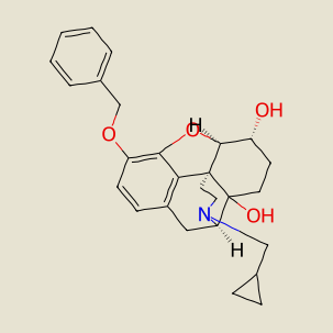 O[C@@H]1CCC2(O)[C@H]3Cc4ccc(OCc5ccccc5)c5c4[C@@]2(CCN3CC2CC2)[C@H]1O5